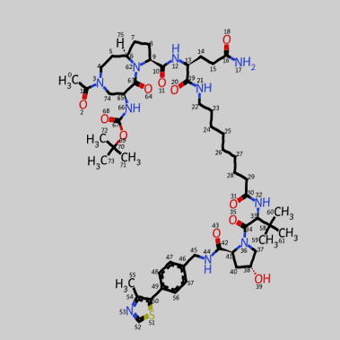 CC(=O)N1CC[C@H]2CC[C@@H](C(=O)N[C@@H](CCC(N)=O)C(=O)NCCCCCCCCC(=O)N[C@H](C(=O)N3C[C@H](O)C[C@H]3C(=O)NCc3ccc(-c4scnc4C)cc3)C(C)(C)C)N2C(=O)[C@@H](NC(=O)OC(C)(C)C)C1